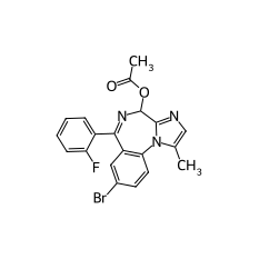 CC(=O)OC1N=C(c2ccccc2F)c2cc(Br)ccc2-n2c(C)cnc21